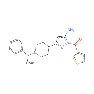 COC(c1ccccc1)N1CCC(c2cc(N)n(C(=O)c3ccsc3)n2)CC1